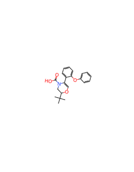 CC(C)(C)C1CN(C(=O)O)C(c2ccccc2Oc2ccccc2)=CO1